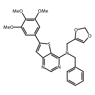 COc1cc(-c2cc3ncnc(N(CC4=COCO4)Cc4ccccc4)c3s2)cc(OC)c1OC